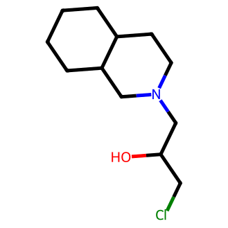 OC(CCl)CN1CCC2CCCCC2C1